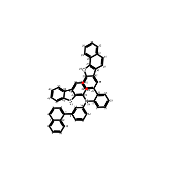 c1cc(-c2cccc3ccccc23)cc(N(c2ccccc2-c2ccc3oc4c5ccccc5ccc4c3c2)c2cccc3c2sc2ccccc23)c1